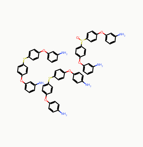 Nc1ccc(Oc2ccc(Sc3ccc(Oc4ccc(N)cc4)cc3)cc2)cc1.Nc1cccc(Oc2ccc(Sc3ccc(Oc4cccc(N)c4)cc3)cc2)c1.Nc1cccc(Oc2ccc([S+]([O-])c3ccc(Oc4cccc(N)c4)cc3)cc2)c1